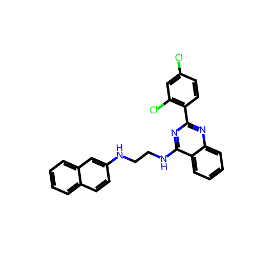 Clc1ccc(-c2nc(NCCNc3ccc4ccccc4c3)c3ccccc3n2)c(Cl)c1